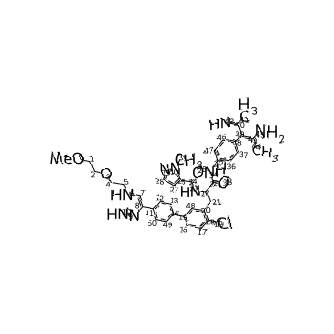 COCCOCCN/C=C(\N=N)c1ccc(-c2ccc(Cl)c(CC(NC(=O)c3ccnn3C)C(=O)Nc3ccc(/C(C(C)=N)=C(\C)N)cc3)c2)cc1